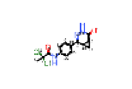 CC(Cl)(Cl)C(=O)Nc1ccc(C2=NNC(=O)C3CC23)cc1